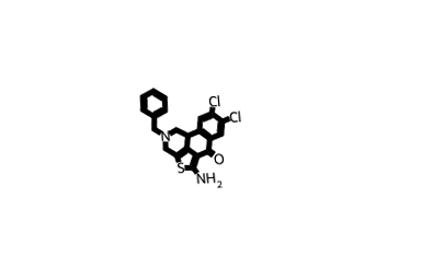 Nc1sc2c3c1C(=O)c1cc(Cl)c(Cl)cc1C3CN(Cc1ccccc1)C2